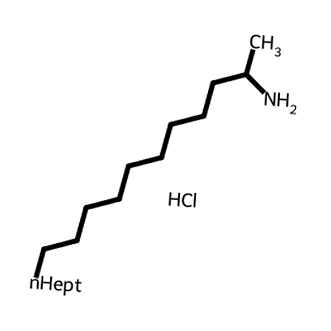 CCCCCCCCCCCCCCCCC(C)N.Cl